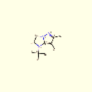 Cc1nn2c(c1C)N(C(C)(C)C)CC2